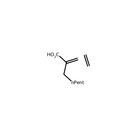 C=C.C=C(CCCCCC)C(=O)O